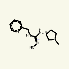 CN1CC[C@@H](N/C(=N/C#N)NCc2ccccn2)C1